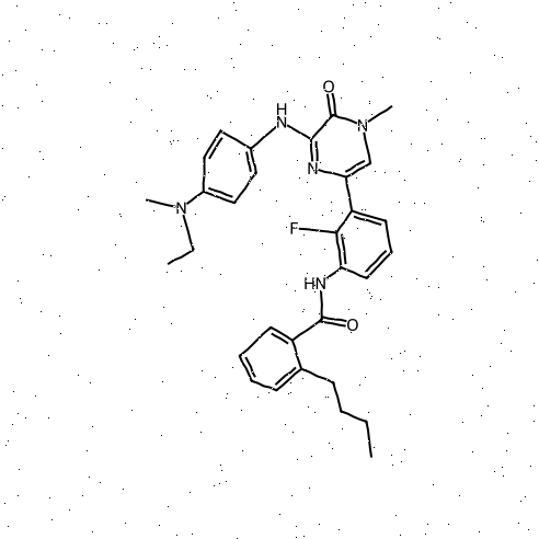 CCCCc1ccccc1C(=O)Nc1cccc(-c2cn(C)c(=O)c(Nc3ccc(N(C)CC)cc3)n2)c1F